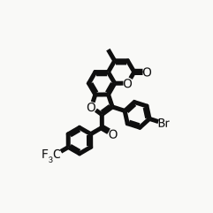 Cc1cc(=O)oc2c1ccc1oc(C(=O)c3ccc(C(F)(F)F)cc3)c(-c3ccc(Br)cc3)c12